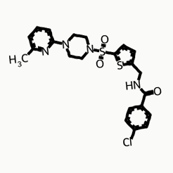 Cc1cccc(N2CCN(S(=O)(=O)c3ccc(CNC(=O)c4ccc(Cl)cc4)s3)CC2)n1